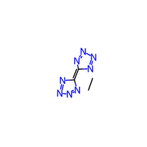 CC.N1=NC(=C2N=NN=N2)N=N1